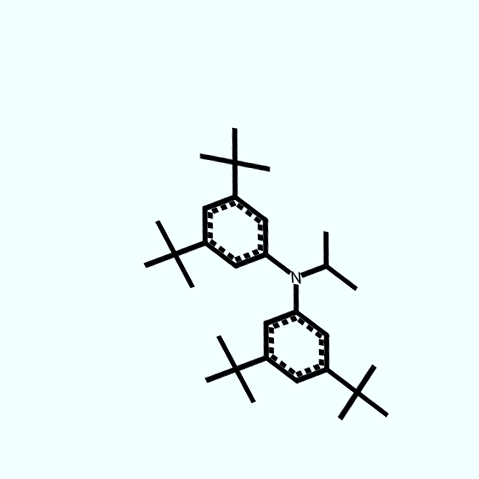 CC(C)N(c1cc(C(C)(C)C)cc(C(C)(C)C)c1)c1cc(C(C)(C)C)cc(C(C)(C)C)c1